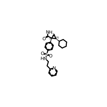 NC(=O)[C@]1(c2ccc(S(=O)(=O)NCCc3ccccn3)cc2)C[C@H]1C1CCCCC1